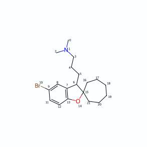 CN(C)CCCC1c2cc(Br)ccc2OC12CCCCCC2